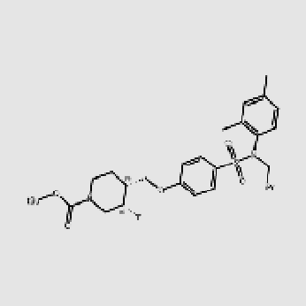 Cc1ccc(N(CC(C)C)S(=O)(=O)c2ccc(OC[C@H]3CCN(C(=O)OC(C)(C)C)C[C@H]3F)cc2)c(C)c1